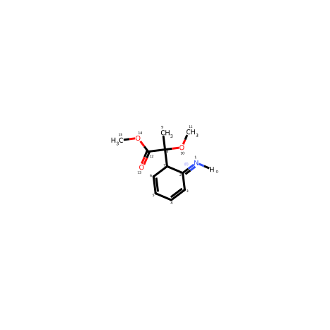 [H]/N=C1\C=CC=CC1C(C)(OC)C(=O)OC